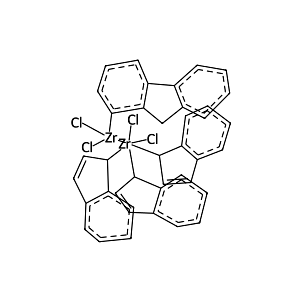 [Cl][Zr]([Cl])([c]1cccc2c1Cc1ccccc1-2)[Zr]([Cl])([Cl])([CH]1C=Cc2ccccc21)([CH]1C=Cc2ccccc21)[CH]1C=Cc2ccccc21